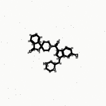 O=C1OC2(CCN(C(=O)c3cn(CC4CNCCO4)c4cc(Cl)ccc34)CC2)c2ccccc21